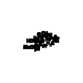 COc1cnn([C@H](C(=O)N2C[C@H](O)C[C@H]2C(=O)N[C@@H](C)c2ccc(-c3scnc3C)cc2)C(C)C)c1